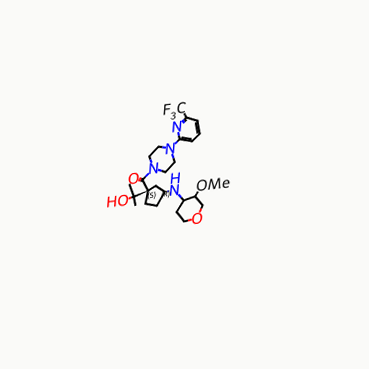 COC1COCCC1N[C@@H]1CC[C@@](C(=O)N2CCN(c3cccc(C(F)(F)F)n3)CC2)(C(C)(C)O)C1